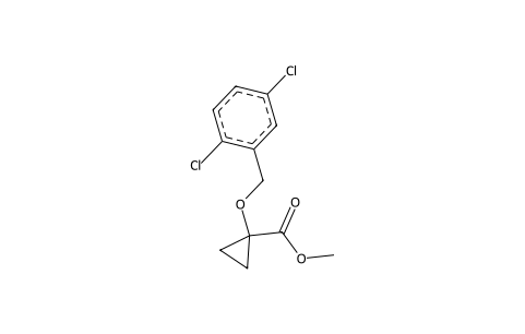 COC(=O)C1(OCc2cc(Cl)ccc2Cl)CC1